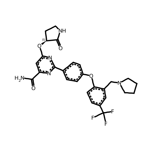 NC(=O)c1cc(O[C@H]2CCNC2=O)nc(-c2ccc(Oc3ccc(C(F)(F)F)cc3CN3CCCC3)cc2)n1